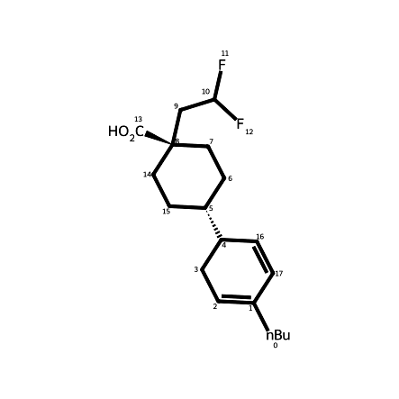 CCCCC1=CCC([C@H]2CC[C@](CC(F)F)(C(=O)O)CC2)C=C1